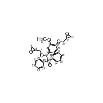 COc1cc(C(OCC2CO2)P(=O)(c2ccccc2)c2ccccc2)ccc1OCC1CO1